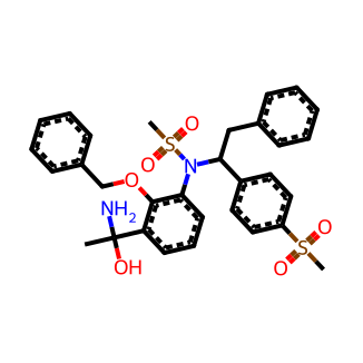 CC(N)(O)c1cccc(N(C(Cc2ccccc2)c2ccc(S(C)(=O)=O)cc2)S(C)(=O)=O)c1OCc1ccccc1